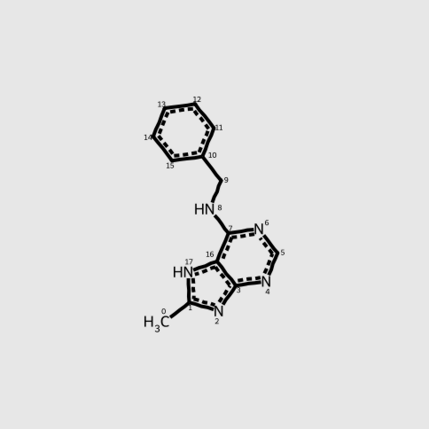 Cc1nc2ncnc(NCc3ccccc3)c2[nH]1